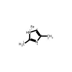 Cc1c[nH]c(C)n1.[Fe]